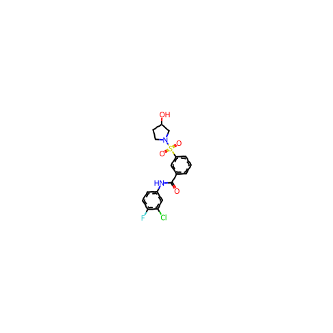 O=C(Nc1ccc(F)c(Cl)c1)c1cccc(S(=O)(=O)N2CCC(O)C2)c1